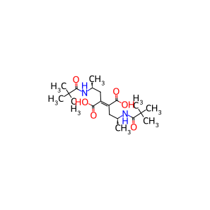 C[C@@H](C/C(C(=O)O)=C(/C[C@H](C)NC(=O)C(C)(C)C)C(=O)O)NC(=O)C(C)(C)C